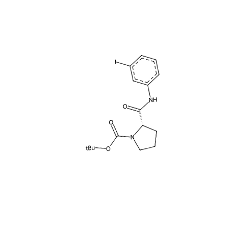 CC(C)(C)OC(=O)N1CCC[C@H]1C(=O)Nc1cccc(I)c1